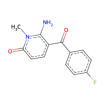 Cn1c(N)c(C(=O)c2ccc(F)cc2)ccc1=O